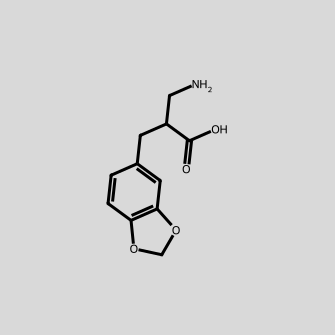 NCC(Cc1ccc2c(c1)OCO2)C(=O)O